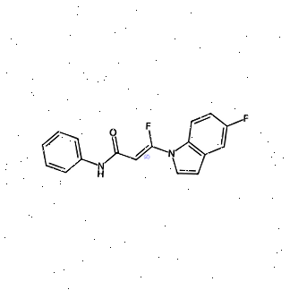 O=C(/C=C(\F)n1ccc2cc(F)ccc21)Nc1ccccc1